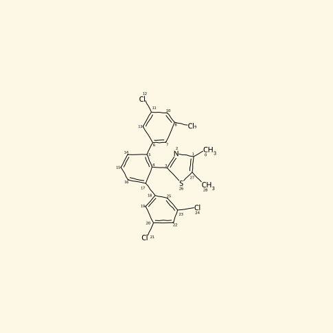 Cc1nc(-c2c(-c3cc(Cl)cc(Cl)c3)cccc2-c2cc(Cl)cc(Cl)c2)sc1C